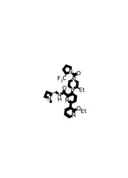 CCOc1ncccc1-c1ccc(N2CCN(C(=O)N3CCC[C@H]3C(F)(F)F)C[C@H]2CC)c(C(=O)NC[C@H]2CCN2C)n1